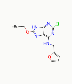 CC(C)(C)COc1nc2c(NCc3ccco3)nc(Cl)nc2[nH]1